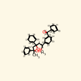 CC(CC(O)(CC(C)(O)c1ccccc1)c1ccccc1)c1cccc(C(=O)c2ccccc2)c1